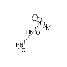 CC(=O)NCCCCCNC(=O)CCn1c(CN(C)N(C)C)cc2ccccc21